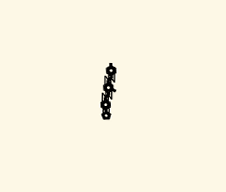 Cc1ccc(/N=N/c2ccc(/N=N/c3ccc(N4CCCC4)cc3)c(C)c2)cc1